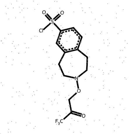 O=C(CON1CCc2ccc(S(=O)(=O)Cl)cc2CC1)C(F)(F)F